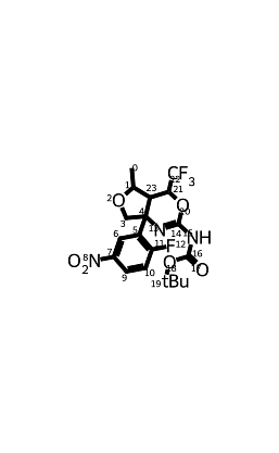 CC1OCC2(c3cc([N+](=O)[O-])ccc3F)N=C(NC(=O)OC(C)(C)C)OC(C(F)(F)F)C12